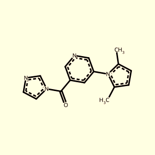 Cc1ccc(C)n1-c1cncc(C(=O)n2ccnc2)c1